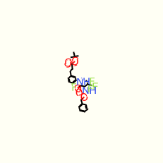 CC(C(NC(=O)OCc1ccccc1)C(=O)Nc1cc(CCC(=O)OC(C)(C)C)ccc1F)C(F)(F)F